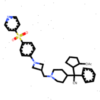 CC(=O)OC1CCCC1C(C#N)(c1ccccc1)C1CCN(CC2CN(c3ccc(S(=O)(=O)c4ccncc4)cc3)C2)CC1